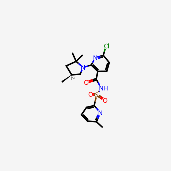 Cc1cccc(S(=O)(=O)NC(=O)c2ccc(Cl)nc2N2C[C@@H](C)CC2(C)C)n1